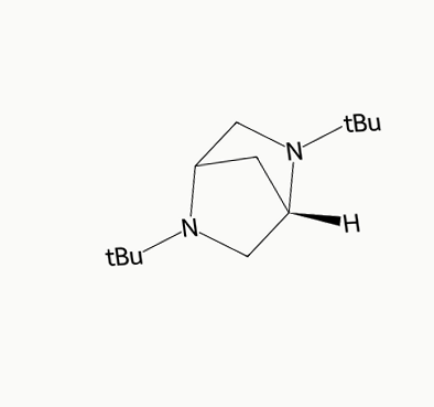 CC(C)(C)N1C[C@@H]2CC1CN2C(C)(C)C